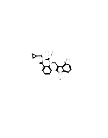 Cc1cccc2c1c(Cn1c(=O)n([C@H](C(=O)O)C3CC3)c(=O)c3ccccc31)cn2C